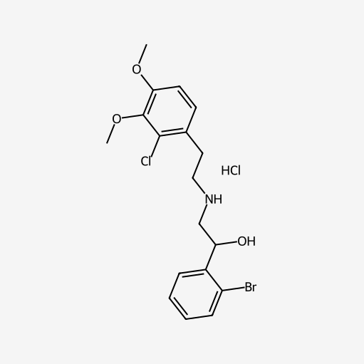 COc1ccc(CCNCC(O)c2ccccc2Br)c(Cl)c1OC.Cl